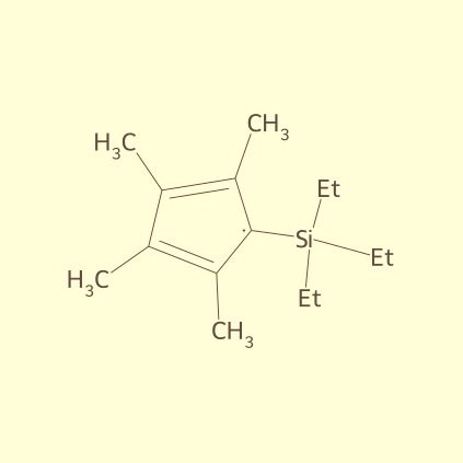 CC[Si](CC)(CC)[C]1C(C)=C(C)C(C)=C1C